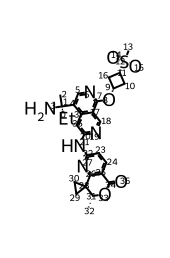 CC[C@@](C)(N)c1cnc(O[C@H]2C[C@@H](S(C)(=O)=O)C2)c2cnc(Nc3ccc4c(n3)C3(CC3)[C@@H](C)OC4=O)cc12